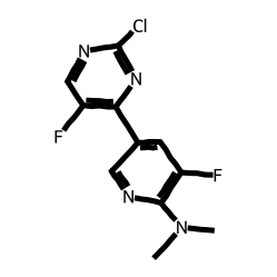 CN(C)c1ncc(-c2nc(Cl)ncc2F)cc1F